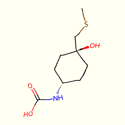 CSC[C@]1(O)CC[C@H](NC(=O)O)CC1